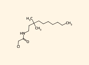 CCCCCCCC(C)(C)CCNC(=O)CCl